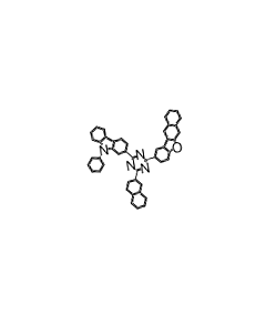 c1ccc(-n2c3ccccc3c3ccc(-c4nc(-c5ccc6ccccc6c5)nc(-c5ccc6oc7cc8ccccc8cc7c6c5)n4)cc32)cc1